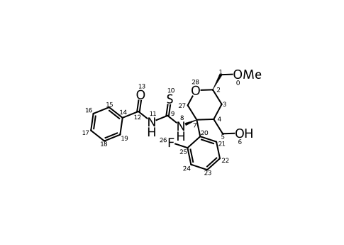 COC[C@H]1CC(CO)[C@](NC(=S)NC(=O)c2ccccc2)(c2ccccc2F)CO1